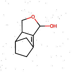 OC1OCC2C1=C1CCC2C1